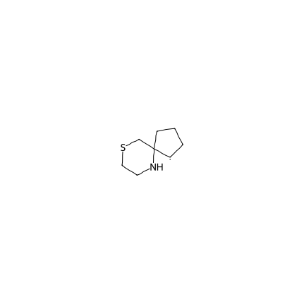 [CH]1CCCC12CSCCN2